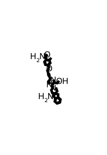 Cc1cc(OCC#Cc2cnc(N3CCC4(CC3)Cc3ccccc3[C@H]4N)c(CO)n2)ccc1C(N)=O